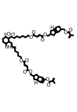 C=C(C)C(=O)OCC1CC2CC1C1CC(COC(=O)/C=C/C(=O)OCCCCCCCC3C(CCCCCCCC)CCC(CCCCCC)C3CCCCCCCOC(=O)/C=C/C(=O)OCC3CC4C5CC(CC5OC(=O)C(=C)C)[C@H]4C3)C[C@@H]21